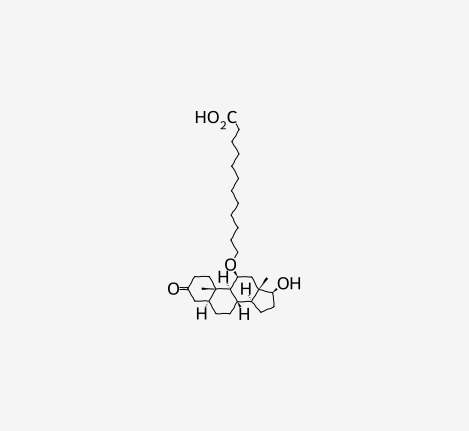 C[C@]12CCC(=O)C[C@@H]1CC[C@@H]1[C@@H]2[C@@H](OCCCCCCCCCCCC(=O)O)C[C@]2(C)[C@@H](O)CC[C@@H]12